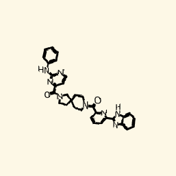 O=C(c1cccc(-c2nc3ccccc3[nH]2)n1)N1CCC2(CC1)CCN(C(=O)c1ccnc(Nc3ccccc3)n1)C2